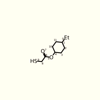 CCC1CCC(OC(=O)CS)CC1